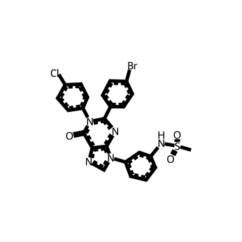 CS(=O)(=O)Nc1cccc(-n2cnc3c(=O)n(-c4ccc(Cl)cc4)c(-c4ccc(Br)cc4)nc32)c1